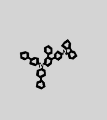 c1ccc(-c2ccc(N(c3ccc(-c4ccccc4)cc3)c3ccc(-c4ccc(-n5c6ccccc6c6ccccc65)cc4)c(-c4ccccc4)c3)cc2)cc1